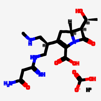 CNC[C@H](CNC(=N)CC(N)=O)C1=C(C(=O)O)N2C(=O)[C@H]([C@@H](C)O)[C@H]2C1.O=C([O-])O.[H+]